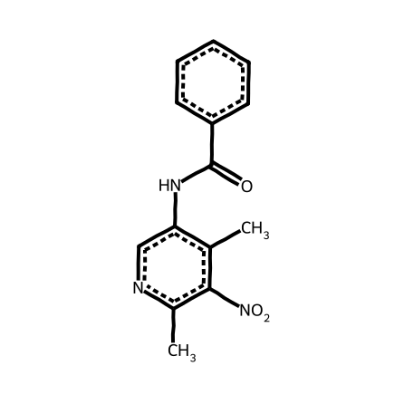 Cc1ncc(NC(=O)c2ccccc2)c(C)c1[N+](=O)[O-]